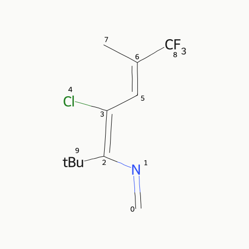 C=N/C(=C(Cl)\C=C(/C)C(F)(F)F)C(C)(C)C